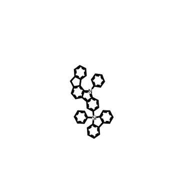 c1ccc(-n2c3ccc([Si]4(c5ccccc5)c5ccccc5-c5ccccc54)cc3c3ccc4c(c32)-c2ccccc2C4)cc1